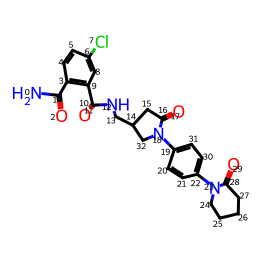 NC(=O)c1ccc(Cl)cc1C(=O)NCC1CC(=O)N(c2ccc(N3CCCCC3=O)cc2)C1